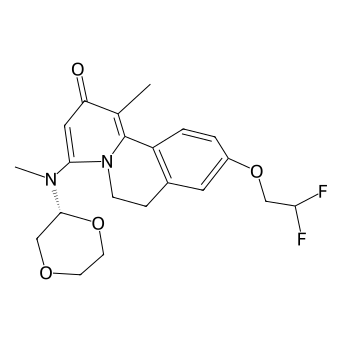 Cc1c2n(c(N(C)[C@H]3COCCO3)cc1=O)CCc1cc(OCC(F)F)ccc1-2